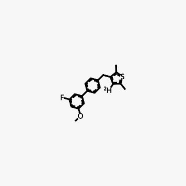 [2H]c1c(C)sc(C)c1Cc1ccc(-c2cc(F)cc(OC)c2)cc1